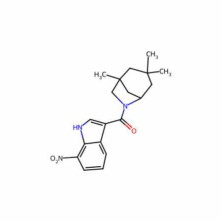 CC1(C)CC2CC(C)(CN2C(=O)c2c[nH]c3c([N+](=O)[O-])cccc23)C1